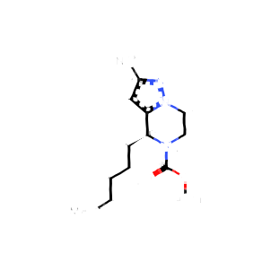 COCCCC[C@H]1c2cc(C#N)nn2CCN1C(=O)OC(C)(C)C